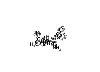 C=CC1=C(C(=O)OCC(=O)OC(C)(C)C)N2C(=O)C(NC(=O)C(=NOCC(=O)OC(c3ccccc3)c3ccccc3)c3csc(N)n3)[C@@H]2SC1